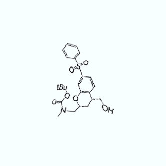 CN(CC1CC(CO)c2ccc(S(=O)(=O)c3ccccc3)cc2O1)C(=O)OC(C)(C)C